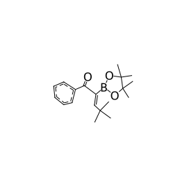 CC(C)(C)C=C(B1OC(C)(C)C(C)(C)O1)C(=O)c1ccccc1